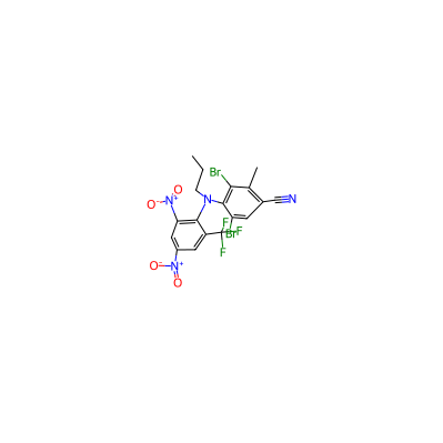 CCCN(c1c([N+](=O)[O-])cc([N+](=O)[O-])cc1C(F)(F)F)c1c(Br)cc(C#N)c(C)c1Br